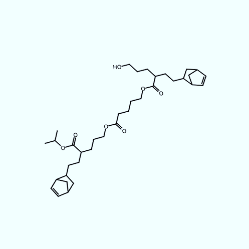 CC(C)OC(=O)C(CCCOC(=O)CCCCOC(=O)C(CCCO)CCC1CC2C=CC1C2)CCC1CC2C=CC1C2